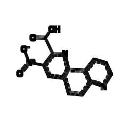 O=C(O)c1nc2c(ccc3ncccc32)cc1[N+](=O)[O-]